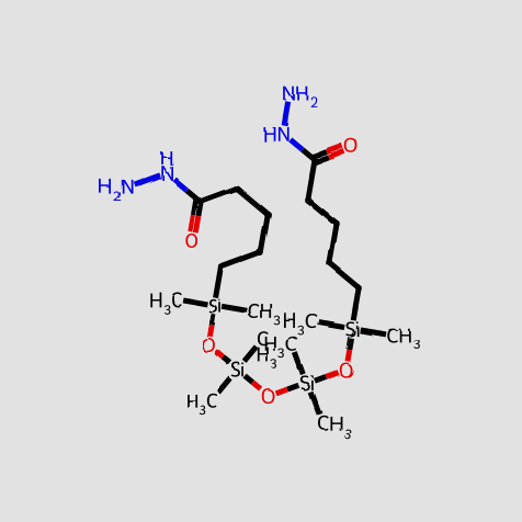 C[Si](C)(CCCCC(=O)NN)O[Si](C)(C)O[Si](C)(C)O[Si](C)(C)CCCCC(=O)NN